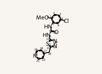 COc1ccc(Cl)cc1NC(=O)Nc1nnc(Cc2ccncc2)s1